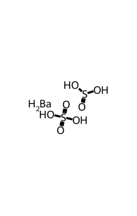 O=S(=O)(O)O.O=S(O)O.[BaH2]